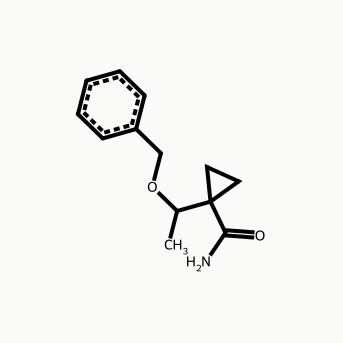 CC(OCc1ccccc1)C1(C(N)=O)CC1